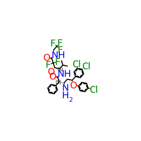 CC(C)[C@H](NC(=O)[C@@H](c1ccccc1)C(N)CC(Oc1ccc(Cl)cc1)c1ccc(Cl)c(Cl)c1)C(=O)C(F)(F)C(=O)NCC(F)(F)F